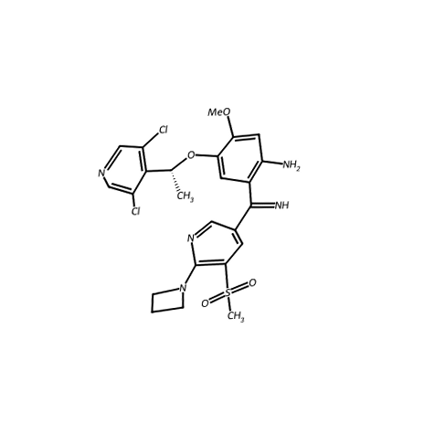 COc1cc(N)c(C(=N)c2cnc(N3CCC3)c(S(C)(=O)=O)c2)cc1O[C@H](C)c1c(Cl)cncc1Cl